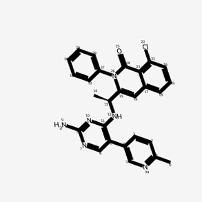 Cc1ccc(-c2cnc(N)nc2N[C@@H](C)c2cc3cccc(Cl)c3c(=O)n2-c2ccccc2)cn1